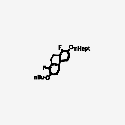 CCCCCCCOc1ccc2c(c1F)CCc1c-2ccc(OCCCC)c1F